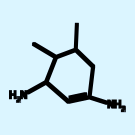 CC1CC(N)=CC(N)C1C